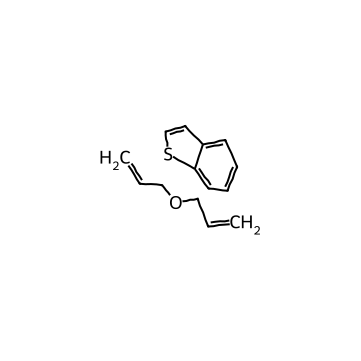 C=CCOCC=C.c1ccc2sccc2c1